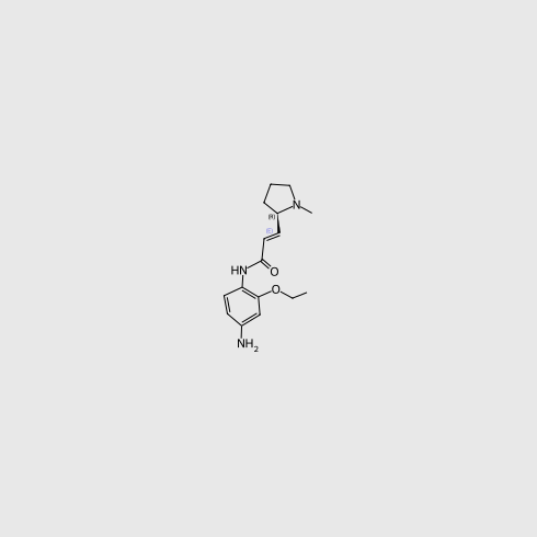 CCOc1cc(N)ccc1NC(=O)/C=C/[C@H]1CCCN1C